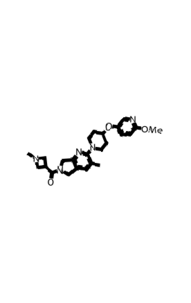 COc1ccc(OC2CCN(c3nc4c(cc3C)CN(C(=O)C3CN(C)C3)C4)CC2)cn1